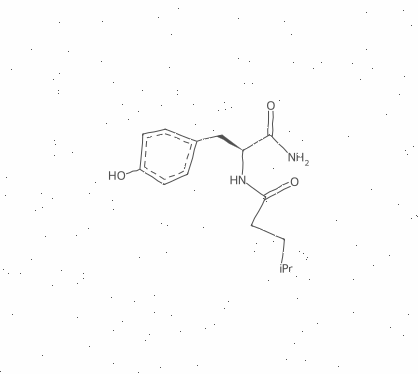 CC(C)CCC(=O)N[C@@H](Cc1ccc(O)cc1)C(N)=O